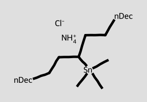 CCCCCCCCCCCC[CH](CCCCCCCCCCCC)[Sn]([CH3])([CH3])[CH3].[Cl-].[NH4+]